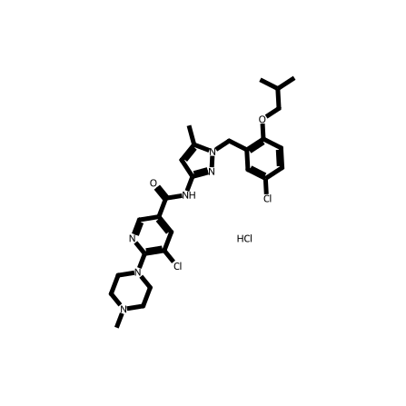 Cc1cc(NC(=O)c2cnc(N3CCN(C)CC3)c(Cl)c2)nn1Cc1cc(Cl)ccc1OCC(C)C.Cl